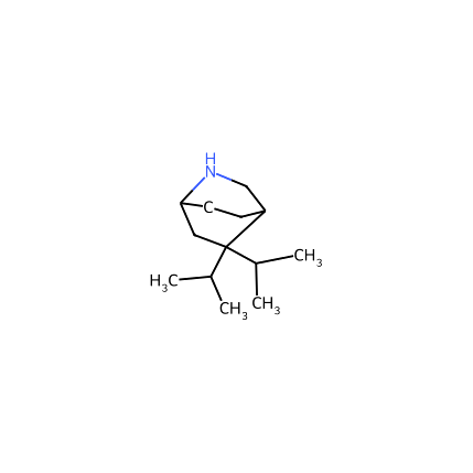 CC(C)C1(C(C)C)CC2CCC1CN2